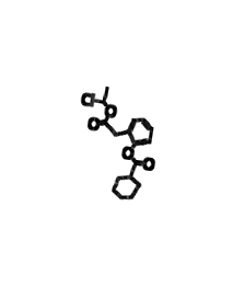 CC(Cl)OC(=O)Cc1ccccc1OC(=O)C1CCCCC1